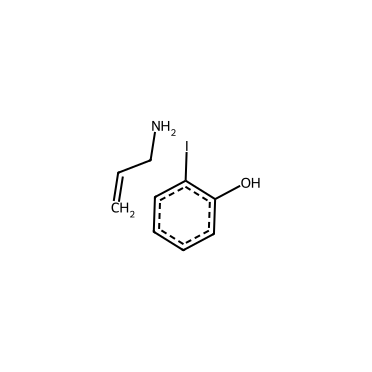 C=CCN.Oc1ccccc1I